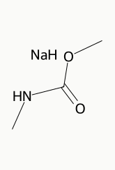 CNC(=O)OC.[NaH]